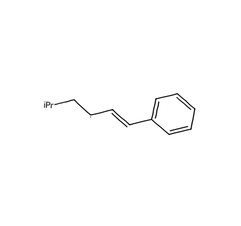 CC(C)C[CH]C=Cc1ccccc1